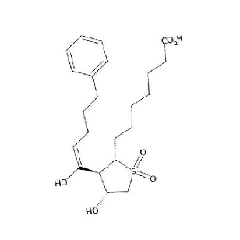 O=C(O)CCCCCC[C@H]1[C@H](/C(O)=C\CCCc2ccccc2)[C@@H](O)CS1(=O)=O